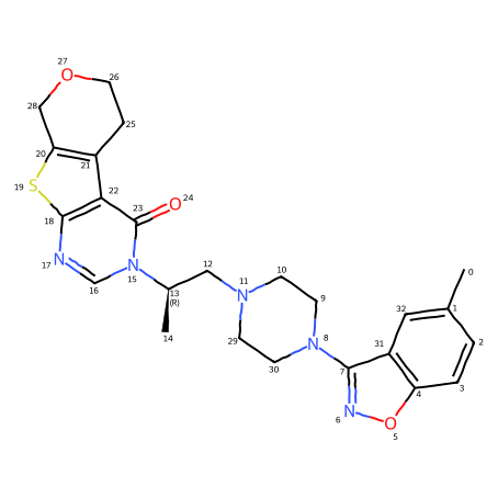 Cc1ccc2onc(N3CCN(C[C@@H](C)n4cnc5sc6c(c5c4=O)CCOC6)CC3)c2c1